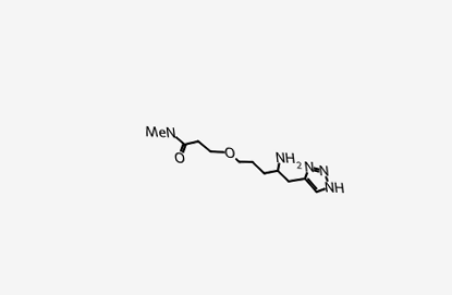 CNC(=O)CCOCCCC(N)Cc1c[nH]nn1